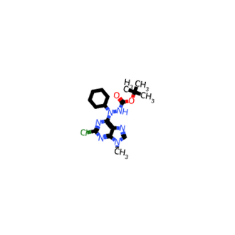 Cn1cnc2c(N(NC(=O)OC(C)(C)C)C3CCCCC3)nc(Cl)nc21